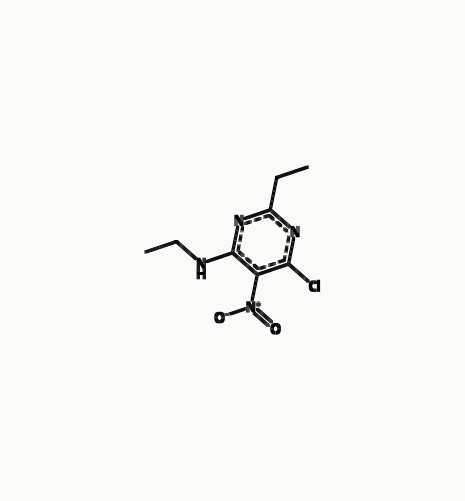 CCNc1nc(CC)nc(Cl)c1[N+](=O)[O-]